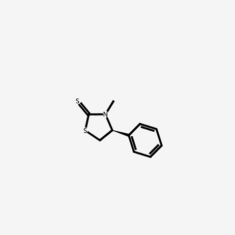 CN1C(=S)SC[C@@H]1c1ccccc1